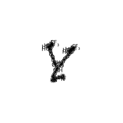 O=C(CCOCC(COCCC(=O)NCCOCCOCCOCCOC[C@H]1OC[C@H](Nc2nccc(C(F)(F)F)n2)[C@@H](O)[C@H]1O)NC(=O)CCOCc1ccc(-c2cccc3ccncc23)c(OCCc2ccc(-c3cccc4ccncc34)cc2)c1)NCCOCCOCCOCCOC[C@H]1OC[C@H](Nc2nccc(C(F)(F)F)n2)[C@@H](O)[C@H]1O